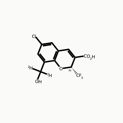 [2H]C([2H])(O)c1cc(Cl)cc2c1O[C@@H](C(F)(F)F)C(C(=O)O)=C2